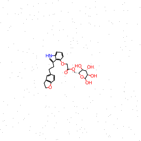 O=C(COc1cccc2[nH]cc(CCc3ccc4c(c3)CCO4)c12)OC[C@H]1O[C@H](O)[C@H](O)[C@@H](O)[C@@H]1O